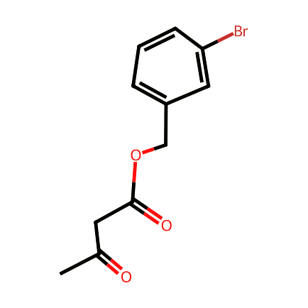 CC(=O)CC(=O)OCc1cccc(Br)c1